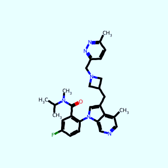 Cc1ccc(CN2CC(Cc3cn(-c4ccc(F)cc4C(=O)N(C)C(C)C)c4cncc(C)c34)C2)nn1